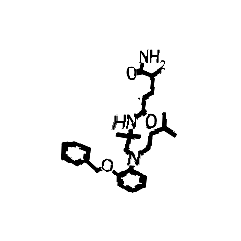 CC(C)CCN(CC(C)(C)NC(=O)[CH]CC(C)C(N)=O)c1ccccc1OCc1ccccc1